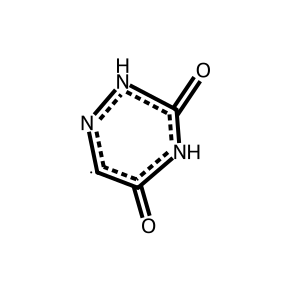 O=c1[c]n[nH]c(=O)[nH]1